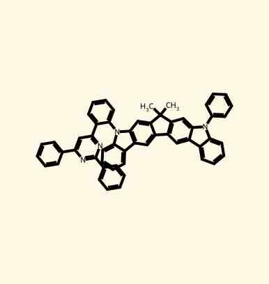 CC1(C)c2cc3c(cc2-c2cc4c5ccccc5n(-c5ccccc5-c5cc(-c6ccccc6)nc(-c6ccccc6)n5)c4cc21)c1ccccc1n3-c1ccccc1